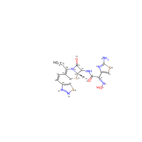 Nc1nc(/C(=N/O)C(=O)NC2C(=O)N3C(C(=O)O)=C(/C=C\c4csnn4)CS[C@@H]23)cs1